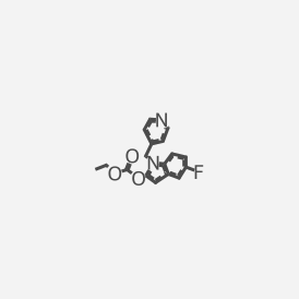 CCOC(=O)Oc1cc2cc(F)ccc2n1Cc1ccncc1